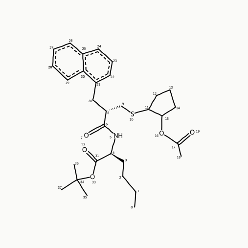 CCCC[C@H](NC(=O)[C@@H](CSC1CCCC1OC(C)=O)Cc1cccc2ccccc12)C(=O)OC(C)(C)C